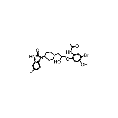 CC(=O)Nc1cc(Br)c(O)cc1OCC(O)CN1CCC(n2c(=O)[nH]c3cc(F)ccc32)CC1